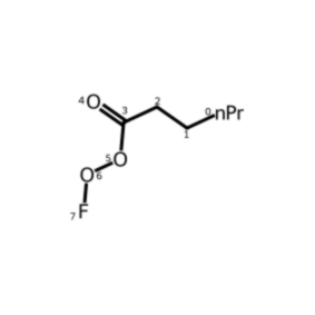 CCCCCC(=O)OOF